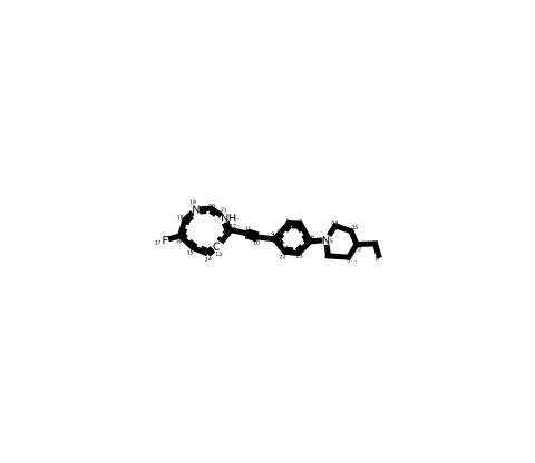 CCC1CCN(c2ccc(C#Cc3cccc(F)cnc[nH]3)cc2)CC1